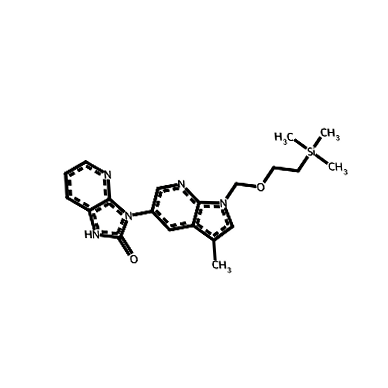 Cc1cn(COCC[Si](C)(C)C)c2ncc(-n3c(=O)[nH]c4cccnc43)cc12